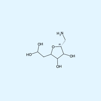 NC[C@H]1OC(CC(O)O)C(O)C1O